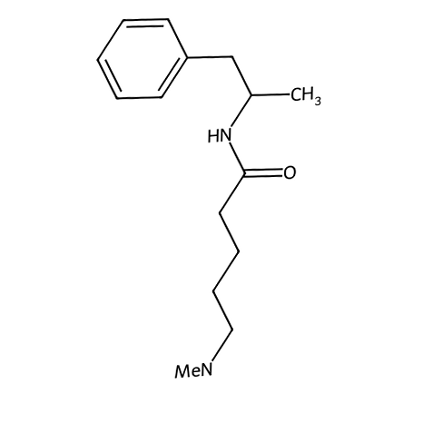 CNCCCCC(=O)NC(C)Cc1ccccc1